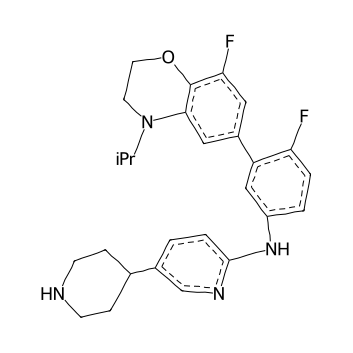 CC(C)N1CCOc2c(F)cc(-c3cc(Nc4ccc(C5CCNCC5)cn4)ccc3F)cc21